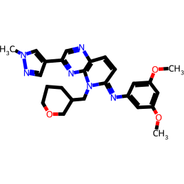 COc1cc(/N=c2\ccc3ncc(-c4cnn(C)c4)nc3n2CC2CCCOC2)cc(OC)c1